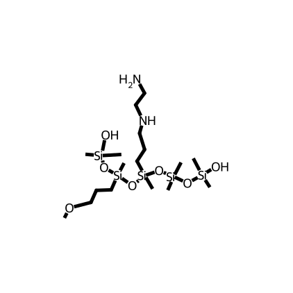 COCCC[Si](C)(O[Si](C)(C)O)O[Si](C)(CCCNCCN)O[Si](C)(C)O[Si](C)(C)O